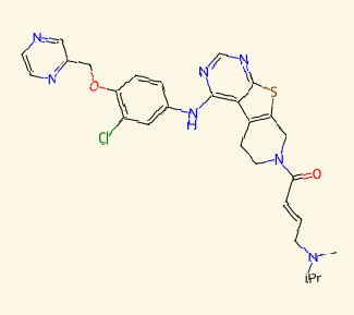 CC(C)N(C)C/C=C/C(=O)N1CCc2c(sc3ncnc(Nc4ccc(OCc5cnccn5)c(Cl)c4)c23)C1